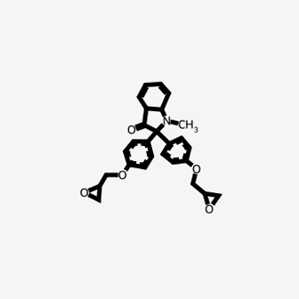 CN1C2C=CC=CC2C(=O)C1(c1ccc(OCC2CO2)cc1)c1ccc(OCC2CO2)cc1